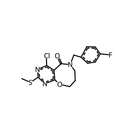 CSc1nc(Cl)c2c(n1)OCCCN(Cc1ccc(F)cc1)C2=O